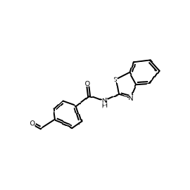 O=Cc1ccc(C(=O)Nc2nc3ccccc3s2)cc1